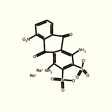 Nc1c2c(c(N)c(S(=O)(=O)[O-])c1S(=O)(=O)[O-])C(=O)c1c(cccc1[N+](=O)[O-])C2=O.[Na+].[Na+]